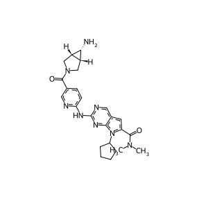 CN(C)C(=O)c1cc2cnc(Nc3ccc(C(=O)N4C[C@@H]5[C@H](N)[C@@H]5C4)cn3)nc2n1C1CCCC1